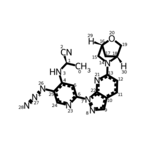 C[C@H](C#N)Nc1cc(-n2ncc3ccc(N4C[C@H]5C[C@@H]4CO5)nc32)ncc1N=[N+]=[N-]